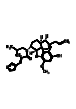 C=CCN1CC[C@]23c4c5c(O)cc(OC)c4O[C@H]2[C@H](N(CC(C)C)C(=O)/C=C/c2ccoc2)CC[C@H]3[C@H]1C5